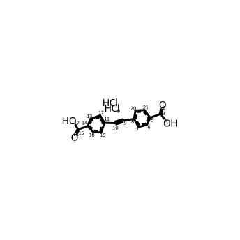 Cl.Cl.O=C(O)c1ccc(C#Cc2ccc(C(=O)O)cc2)cc1